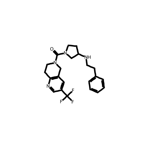 O=C(N1CCc2ncc(C(F)(F)F)cc2C1)N1CCC(NCCc2ccccc2)C1